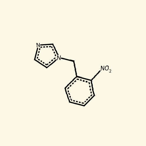 O=[N+]([O-])c1ccccc1Cn1ccnc1